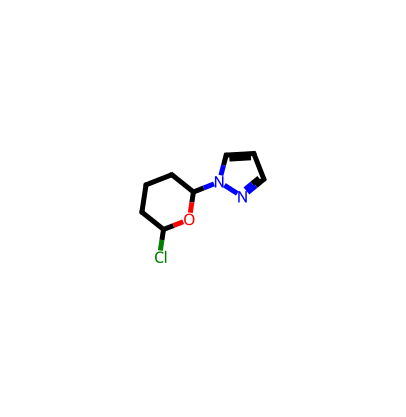 ClC1CCCC(n2cccn2)O1